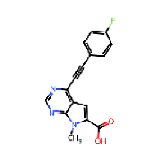 Cn1c(C(=O)O)cc2c(C#Cc3ccc(F)cc3)ncnc21